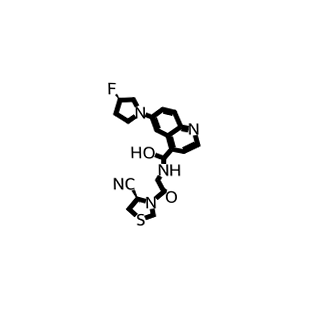 N#C[C@@H]1CSCN1C(=O)CNC(O)c1ccnc2ccc(N3CC[C@H](F)C3)cc12